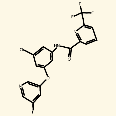 O=C(Nc1cc(Cl)cc(Oc2cncc(F)c2)c1)c1cccc(C(F)(F)F)n1